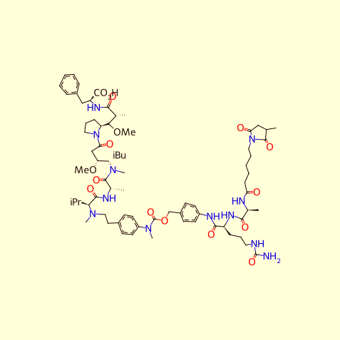 CC[C@H](C)[C@@H]([C@@H](CC(=O)N1CCC[C@H]1C(OC)[C@@H](C)C(=O)N[C@@H](Cc1ccccc1)C(=O)O)OC)N(C)C(=O)[C@H](C)NC(=O)[C@H](C(C)C)N(C)CCc1ccc(N(C)C(=O)OCc2ccc(NC(=O)[C@H](CCCNC(N)=O)NC(=O)[C@H](C)NC(=O)CCCCCN3C(=O)CC(C)C3=O)cc2)cc1